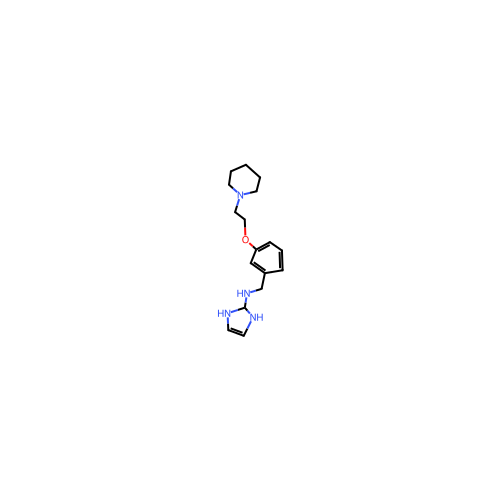 C1=CNC(NCc2cccc(OCCN3CCCCC3)c2)N1